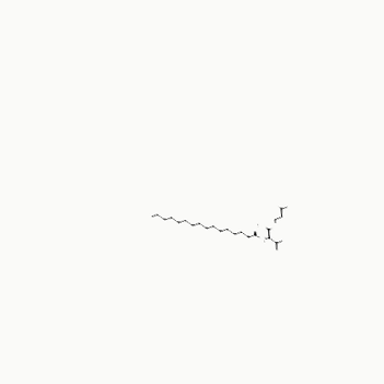 CCCCCCCCCCCCCCCC(=O)NC(C(=O)OCCC(C)O)C(C)C